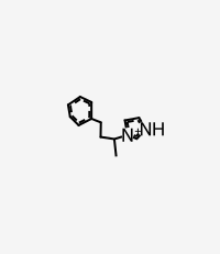 CC(CCc1ccccc1)[n+]1cc[nH]c1